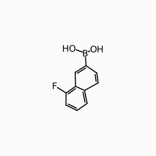 OB(O)c1ccc2cccc(F)c2c1